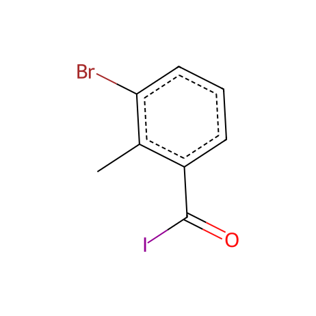 Cc1c(Br)cccc1C(=O)I